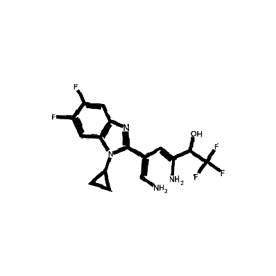 N/C=C(\C=C(/N)C(O)C(F)(F)F)c1nc2cc(F)c(F)cc2n1C1CC1